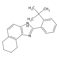 CC(C)(C)c1ccccc1-c1nc2c3c(ccc2[nH]1)CCCC3